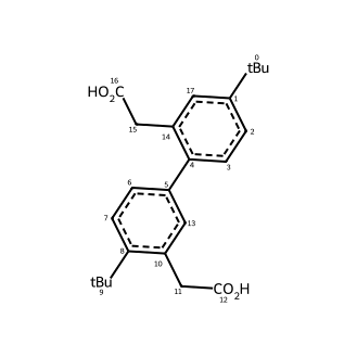 CC(C)(C)c1ccc(-c2ccc(C(C)(C)C)c(CC(=O)O)c2)c(CC(=O)O)c1